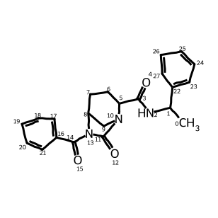 CC(NC(=O)C1CCC2CN1C(=O)N2C(=O)c1ccccc1)c1ccccc1